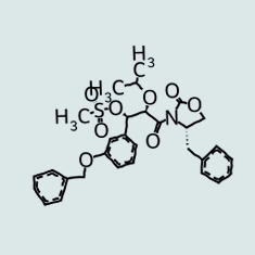 CC(C)O[C@@H](C(=O)N1C(=O)OC[C@@H]1Cc1ccccc1)[C@H](OS(C)(=O)=O)c1cccc(OCc2ccccc2)c1